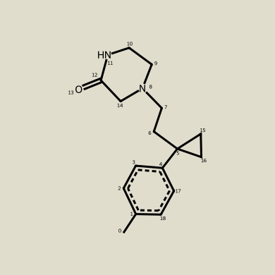 Cc1ccc(C2(CCN3CCNC(=O)C3)CC2)cc1